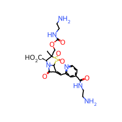 CC1(COC(=O)NCCN)[C@H](C(=O)O)N2C(=O)/C(=C/c3cc(C(=O)NCCN)ccn3)C2S1(=O)=O